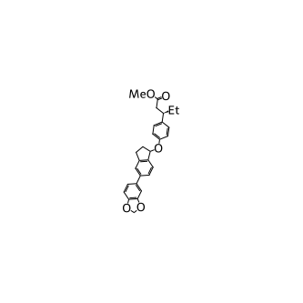 CC[C@H](CC(=O)OC)c1ccc(OC2CCc3cc(-c4ccc5c(c4)OCO5)ccc32)cc1